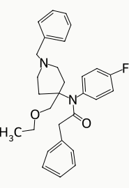 CCOCC1(N(C(=O)Cc2ccccc2)c2ccc(F)cc2)CCN(Cc2ccccc2)CC1